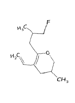 C=CC1=C(CC(C)CF)OCC(C)C1